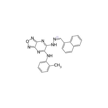 Cc1ccccc1Nc1nc2nonc2nc1N/N=C\c1cccc2ccccc12